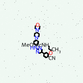 COc1cc(N2CCC(N3CCOCC3)CC2)ccc1Nc1ncc(-c2ccc(C#N)c(OC(C)CCNC(C)=O)c2)cn1